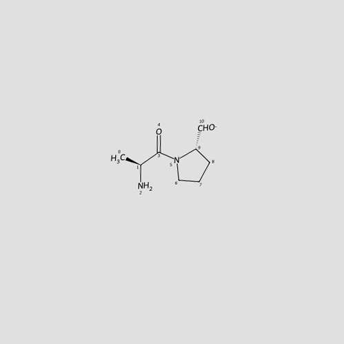 C[C@H](N)C(=O)N1CCC[C@H]1[C]=O